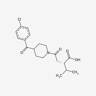 CC(C)[C@H](CC(=O)N1CCC(C(=O)c2ccc(Cl)cc2)CC1)C(=O)O